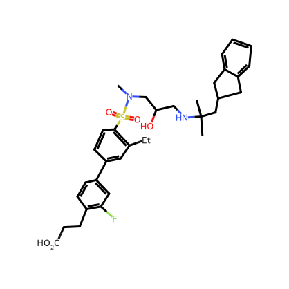 CCc1cc(-c2ccc(CCC(=O)O)c(F)c2)ccc1S(=O)(=O)N(C)CC(O)CNC(C)(C)CC1Cc2ccccc2C1